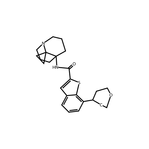 O=C(NC12CCCN(CCC1)C21CC1)c1cc2cccc(C3CCOCC3)c2s1